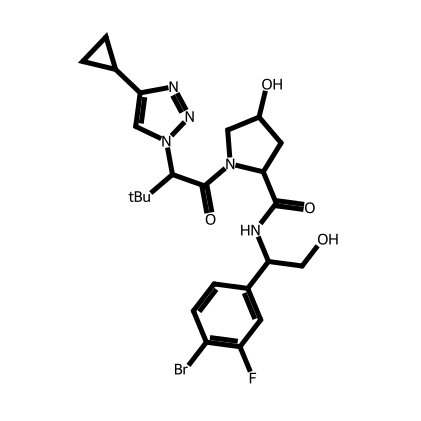 CC(C)(C)C(C(=O)N1CC(O)CC1C(=O)NC(CO)c1ccc(Br)c(F)c1)n1cc(C2CC2)nn1